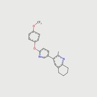 Cc1nc2c(cc1-c1ccc(Oc3ccc(OC(F)(F)F)cc3)nc1)CCCC2